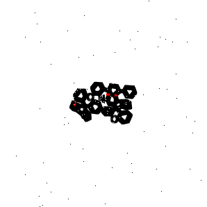 c1ccc(-c2ccc(-c3ccccc3N(c3ccc4c(c3)C3(c5ccccc5Oc5ccccc53)c3ccccc3-4)c3cccc4c3Oc3ccccc3C43c4ccccc4-c4ccccc43)cc2)cc1